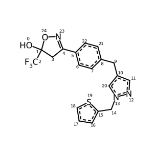 OC1(C(F)(F)F)CC(c2ccc(Cc3cnn(Cc4cccs4)c3)cc2)=NO1